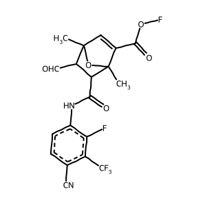 CC12C=C(C(=O)OF)C(C)(O1)C(C(=O)Nc1ccc(C#N)c(C(F)(F)F)c1F)C2C=O